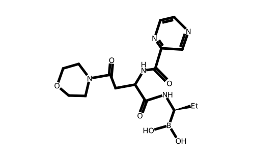 CC[C@H](NC(=O)C(CC(=O)N1CCOCC1)NC(=O)c1cnccn1)B(O)O